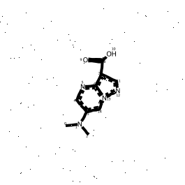 CN(C)c1cnc2c(C(=O)O)cnn2c1